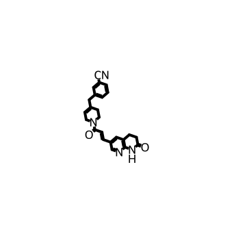 N#Cc1cccc(CC2=CCN(C(=O)C=Cc3cnc4c(c3)CCC(=O)N4)CC2)c1